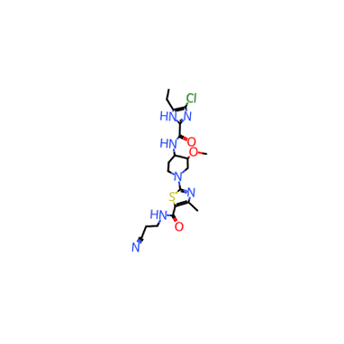 CCc1[nH]c(C(=O)NC2CCN(c3nc(C)c(C(=O)NCCC#N)s3)CC2OC)nc1Cl